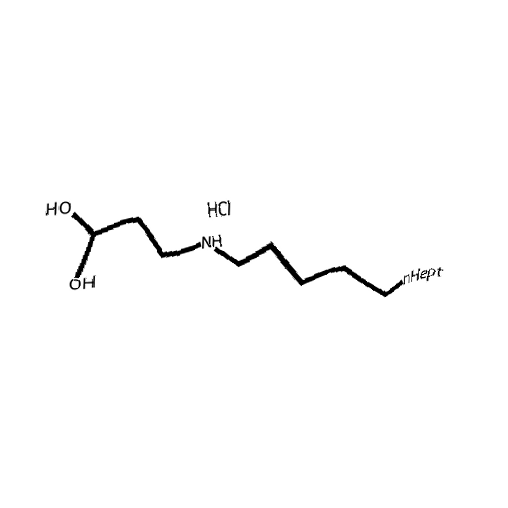 CCCCCCCCCCCCNCCC(O)O.Cl